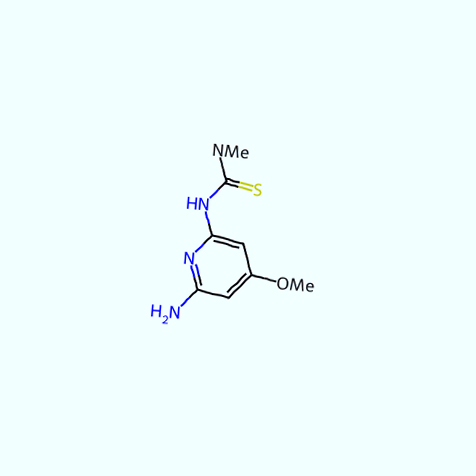 CNC(=S)Nc1cc(OC)cc(N)n1